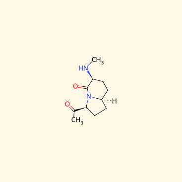 CN[C@H]1CC[C@H]2CC[C@@H](C(C)=O)N2C1=O